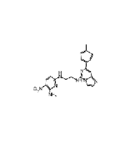 Cc1ccc(-c2cc3nccn3c(NCCNc3ccc([N+](=O)[O-])c(N)n3)n2)cc1